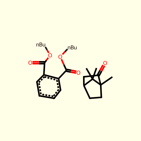 CC12CCC(CC1=O)C2(C)C.CCCCOC(=O)c1ccccc1C(=O)OCCCC